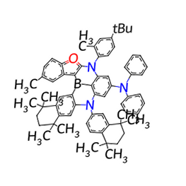 Cc1ccc2oc3c(c2c1)B1c2cc4c(cc2N(c2ccc5c(c2)C(C)(C)CCC5(C)C)c2cc(N(c5ccccc5)c5ccccc5)cc(c21)N3c1ccc(C(C)(C)C)cc1C)C(C)(C)CCC4(C)C